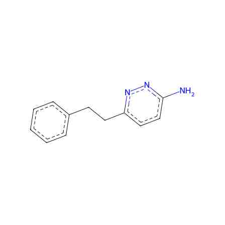 Nc1ccc(CCc2ccccc2)nn1